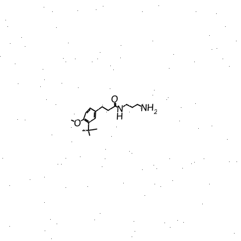 COc1ccc(CCC(=O)NCCCN)cc1C(C)(C)C